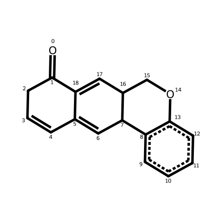 O=C1CC=CC2=CC3c4ccccc4OCC3C=C12